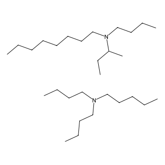 CCCCCCCCN(CCCC)C(C)CC.CCCCCN(CCCC)CCCC